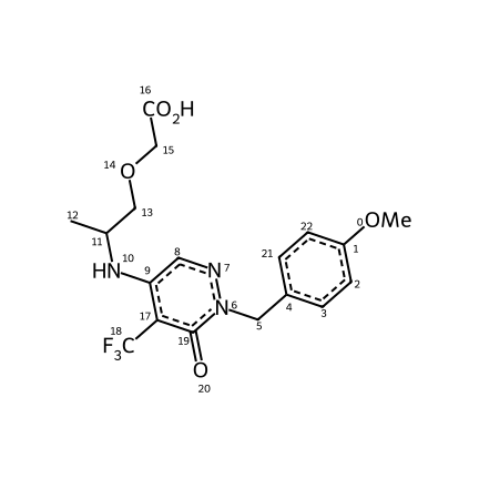 COc1ccc(Cn2ncc(NC(C)COCC(=O)O)c(C(F)(F)F)c2=O)cc1